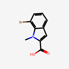 Cn1c(C(=O)O)cc2cccc(Br)c21